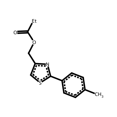 CCC(=O)OCc1csc(-c2ccc(C)cc2)n1